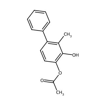 CC(=O)Oc1ccc(-c2ccccc2)c(C)c1O